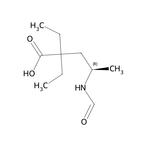 CCC(CC)(C[C@@H](C)NC=O)C(=O)O